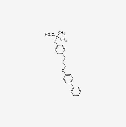 CC(C)(Oc1ccc(CCCOc2ccc(-c3ccccc3)cc2)cc1)C(=O)O